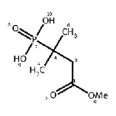 COC(=O)CC(C)(C)P(=O)(O)O